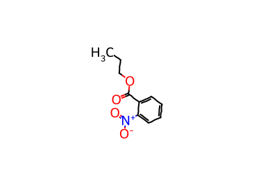 CCCOC(=O)c1ccccc1[N+](=O)[O-]